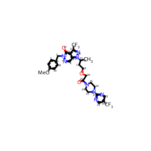 COc1ccc(Cn2ncc3c(c(C(F)(F)F)nn3C(C)CCOCC(=O)N3CCN(c4ncc(C(F)(F)F)cn4)CC3)c2=O)cc1